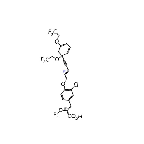 CCO[C@@H](Cc1ccc(OC/C=C/C#CC2(OCC(F)(F)F)C=CC=C(OCC(F)(F)F)C2)c(Cl)c1)C(=O)O